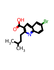 CC(C)CCc1nc2ccc(Br)cc2cc1C(=O)O